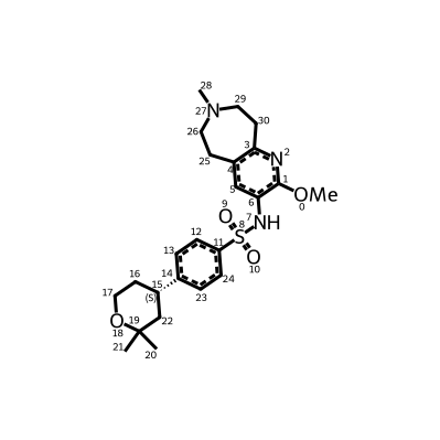 COc1nc2c(cc1NS(=O)(=O)c1ccc([C@H]3CCOC(C)(C)C3)cc1)CCN(C)CC2